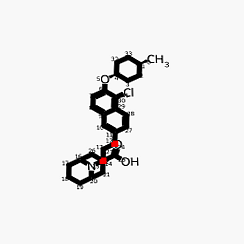 C[C@H]1CC[C@@H](Oc2ccc3cc(CCCN4C5CCCC4CC(C(=O)O)C5)ccc3c2Cl)CC1